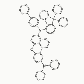 c1ccc(-c2ccc(N(c3cccc4c3-c3ccccc3C4(c3ccccc3)c3ccccc3)c3ccc4c5c(cccc35)-c3cc(N(c5ccccc5)c5ccccc5)ccc3O4)cc2)cc1